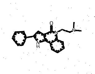 CN(C)CCn1c(=O)c2cc(-c3ccccc3)[nH]c2c2ccccc21